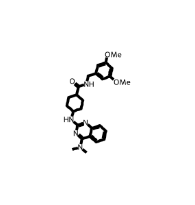 COc1cc(CNC(=O)C2CCC(Nc3nc(N(C)C)c4ccccc4n3)CC2)cc(OC)c1